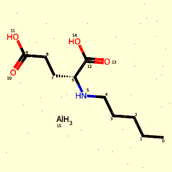 CCCCCN[C@H](CCC(=O)O)C(=O)O.[AlH3]